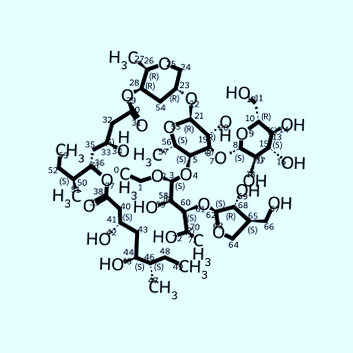 CCO[C@@H](O[C@@H]1[C@@H](O[C@@H]2O[C@H](CO)[C@@H](O)[C@H](O)[C@H]2O)[C@@H](O)[C@H](O[C@H]2CO[C@H](C)[C@H](OC(=O)C[C@@H](O)C[C@H](OC(=O)C[C@@H](O)C[C@H](O)[C@@H](C)CC)[C@@H](C)CC)C2)O[C@H]1C)[C@H](O)[C@@H](O[C@@H]1OC[C@H](CO)[C@H]1O)[C@@H](C)O